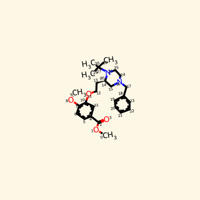 COC(=O)c1ccc(OC)c(OCC[C@@H]2CN(Cc3ccccc3)CCN2C(C)(C)C)c1